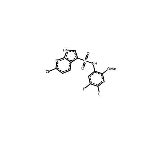 COc1nc(Cl)c(F)cc1NS(=O)(=O)c1c[nH]c2nc(Cl)ccc12